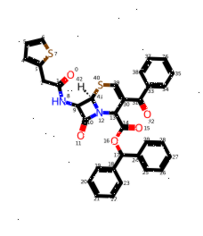 O=C(Cc1cccs1)NC1C(=O)N2C(C(=O)OC(c3ccccc3)c3ccccc3)C(C(=O)c3ccccc3)=CS[C@H]12